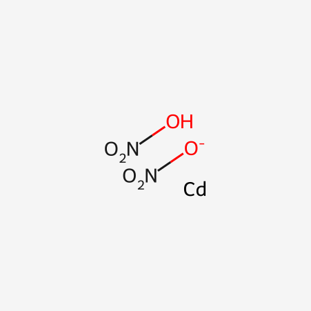 O=[N+]([O-])O.O=[N+]([O-])[O-].[Cd]